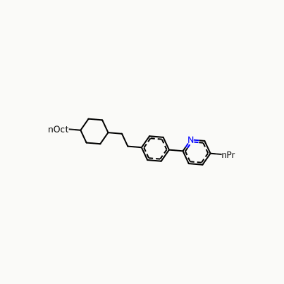 CCCCCCCCC1CCC(CCc2ccc(-c3ccc(CCC)cn3)cc2)CC1